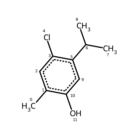 Cc1cc(Cl)c(C(C)C)cc1O